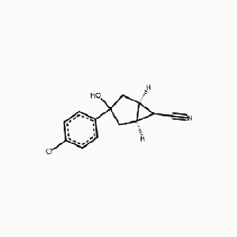 N#CC1[C@H]2CC(O)(c3ccc(Cl)cc3)C[C@@H]12